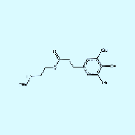 CC(C)(C)c1cc(CCC(=O)OCCNC=O)cc(C(C)(C)C)c1O